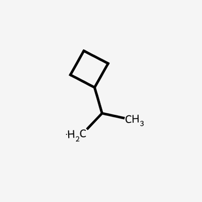 [CH2]C(C)C1CCC1